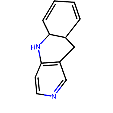 C1=CC2Cc3cnccc3NC2C=C1